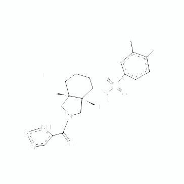 C[C@@H]1CC[C@H](NS(=O)(=O)c2ccc(Cl)c(Cl)c2)[C@@H]2CN(C(=O)c3cnn[nH]3)C[C@@H]21